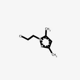 Cc1cc(C)n(CCCl)n1